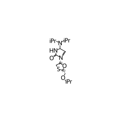 CC(C)OC[C@H]1O[C@@H](N2C=CC(N(C(C)C)C(C)C)NC2=O)CS1